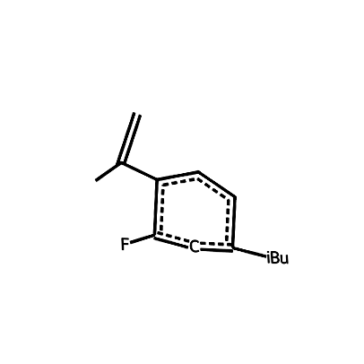 C=C(C)c1ccc(C(C)CC)cc1F